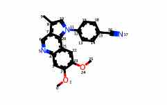 COc1cc2ncc3c(C)cn(-c4ccc(C#N)cc4)c3c2cc1OC